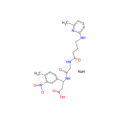 Cc1cccc(NCCCC(=O)NCC(=O)NC(CC(=O)O)c2ccc(C)c([N+](=O)[O-])c2)n1.[NaH]